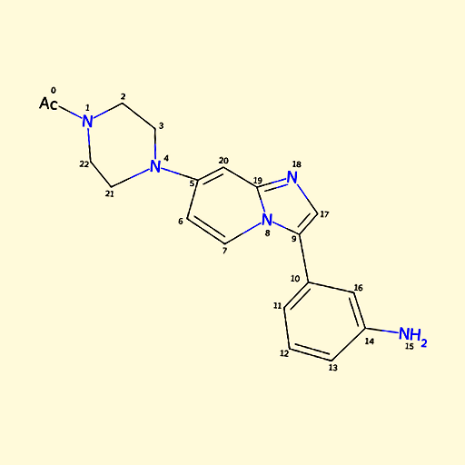 CC(=O)N1CCN(c2ccn3c(-c4cccc(N)c4)cnc3c2)CC1